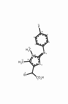 CCC(C(=O)O)c1sc(=Nc2ccc(F)cc2)n(C)c1C